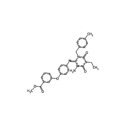 CCn1c(=O)n(N)/c(=N\c2ccc(Oc3cccc(C(=O)OC)c3)cc2)n(Cc2ccc(C)cc2)c1=O